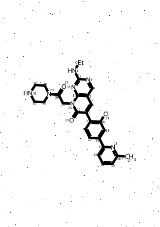 CCNc1ncc2cc(-c3ccc(-c4cccc(C)n4)cc3Cl)c(=O)n(CC(=O)N3CCNCC3)c2n1